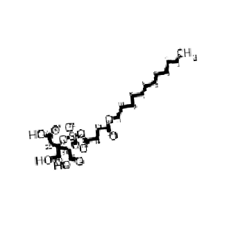 CCCCCCCCCCCCOC(=O)CCC(=O)OS(=O)(=O)OC(CC(=O)O)(CC(=O)O)C(=O)O